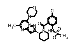 Cc1cc(N2CCOCC2)n2nc([C@@H]3CCCCN3C(=O)c3cc(Cl)ccc3NS(C)(=O)=O)cc2n1